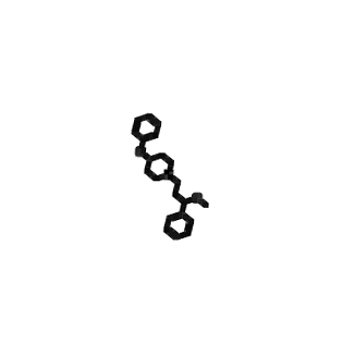 COC(CCN1CCC(Oc2ccccc2)CC1)c1ccccc1